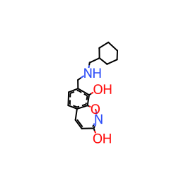 OC1=NOc2c(ccc(CNCC3CCCCC3)c2O)C=C1